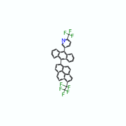 FC(F)(F)c1ccc(-c2c3ccccc3c(-c3ccc4ccc5c(C(F)(F)C(F)(F)F)ccc6ccc3c4c65)c3ccccc23)cn1